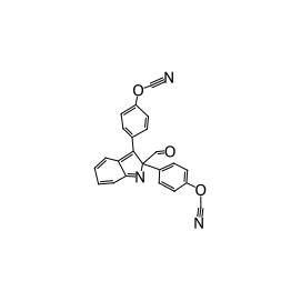 N#COc1ccc(C2=c3ccccc3=NC2(C=O)c2ccc(OC#N)cc2)cc1